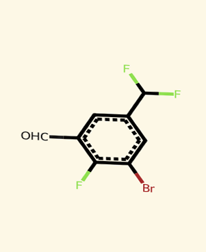 O=Cc1cc(C(F)F)cc(Br)c1F